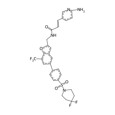 Nc1ccc(/C=C/C(=O)NCc2cc3cc(-c4ccc(S(=O)(=O)N5CCC(F)(F)CC5)cc4)cc(C(F)(F)F)c3o2)cn1